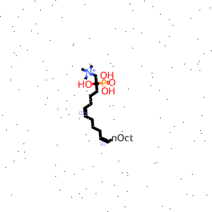 CCCCCCCC/C=C\CCC/C=C\CCCC(O)(C[N+](C)(C)C)P(=O)(O)O